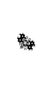 Cc1ccc(C(=O)[NH][Ti+][NH]C(=O)c2ccc(C)cc2)cc1.Cc1ccc(C(=O)[NH][Ti+][NH]C(=O)c2ccc(C)cc2)cc1.[Br-].[Br-]